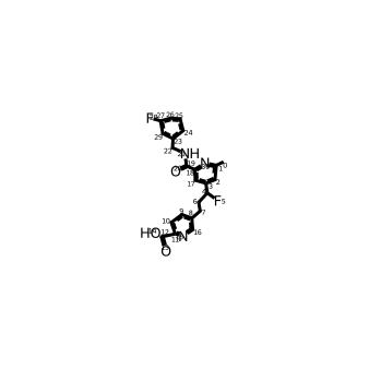 Cc1cc(C(F)CCc2ccc(C(=O)O)nc2)cc(C(=O)NCc2cccc(F)c2)n1